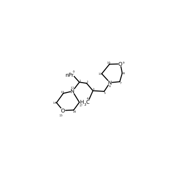 [CH2]CCC(CC(C)CN1CCOCC1)N1CCOCC1